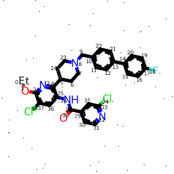 CCOc1nc(C2CCN(Cc3ccc(-c4ccc(F)cc4)cc3)CC2)c(NC(=O)c2ccnc(Cl)c2)cc1Cl